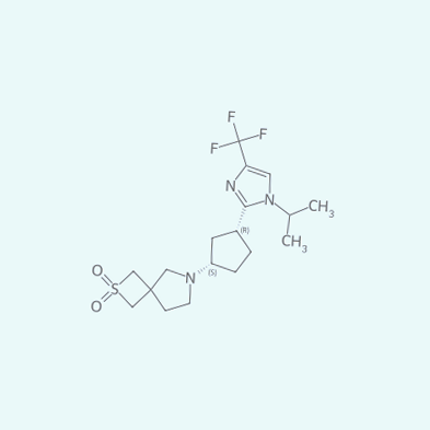 CC(C)n1cc(C(F)(F)F)nc1[C@@H]1CC[C@H](N2CCC3(C2)CS(=O)(=O)C3)C1